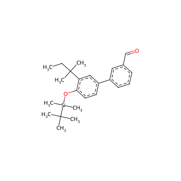 CCC(C)(C)c1cc(-c2cccc(C=O)c2)ccc1O[Si](C)(C)C(C)(C)C